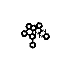 c1ccc(-c2cc3c4c5c6c(cccc6ccc5n(-c5nc6ccccc6nc5-c5ccccc5)c4c2)-c2ccccc2-3)cc1